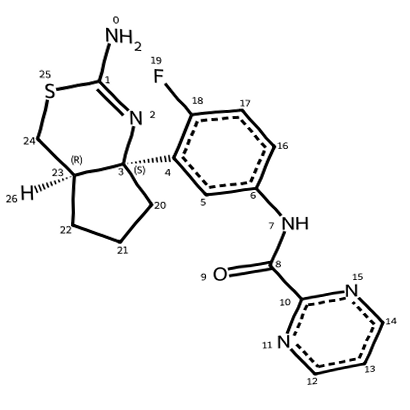 NC1=N[C@@]2(c3cc(NC(=O)c4ncccn4)ccc3F)CCC[C@H]2CS1